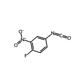 O=C=Nc1ccc(F)c([N+](=O)[O-])c1